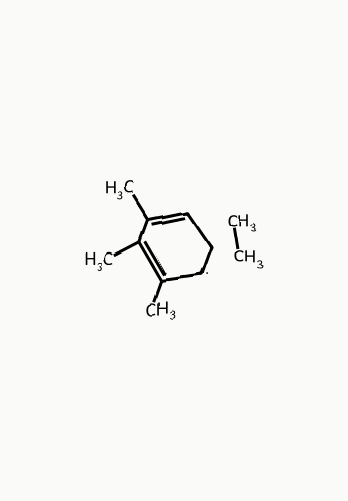 CC.CC1=CC[CH]C(C)=C1C